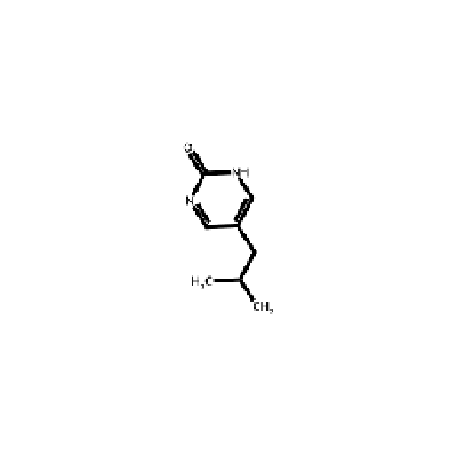 CC(C)Cc1cnc(=O)[nH]c1